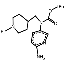 CCN1CCC(CN(C(=O)OC(C)(C)C)c2ccc(N)nc2)CC1